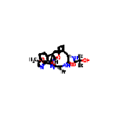 CCC(O)(CC)C(=O)N[C@H]1Cc2ccc3c(c2)C2(c4ccccc4N[C@H]2O3)c2oc(nc2-c2ncc(C)o2)[C@H](C(C)C)NC1=O